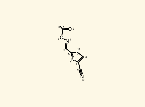 CC(=O)O/N=C/c1nc(C#N)cs1